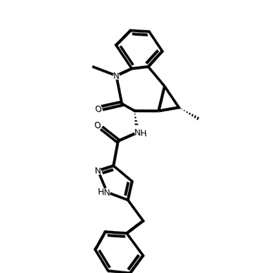 C[C@H]1C2c3ccccc3N(C)C(=O)[C@@H](NC(=O)c3cc(Cc4ccccc4)[nH]n3)C21